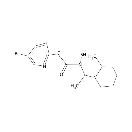 CC1CCCCN1C(C)N(S)C(=O)Nc1ccc(Br)cn1